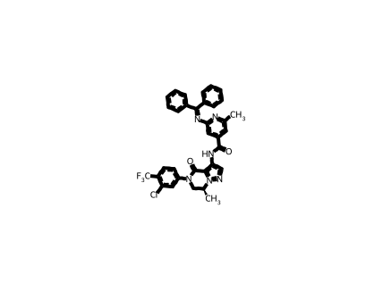 Cc1cc(C(=O)Nc2cnn3c2C(=O)N(c2ccc(C(F)(F)F)c(Cl)c2)C[C@@H]3C)cc(N=C(c2ccccc2)c2ccccc2)n1